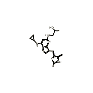 C=c1[nH]c(=O)s/c1=C\c1cnn2c(NC3CC3)cc(NCC(C)O)nc12